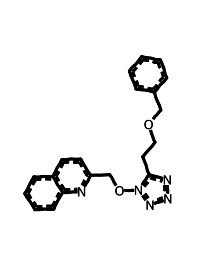 c1ccc(COCCc2nnnn2OCc2ccc3ccccc3n2)cc1